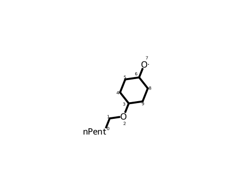 [CH2]CCCCCOC1CCC([O])CC1